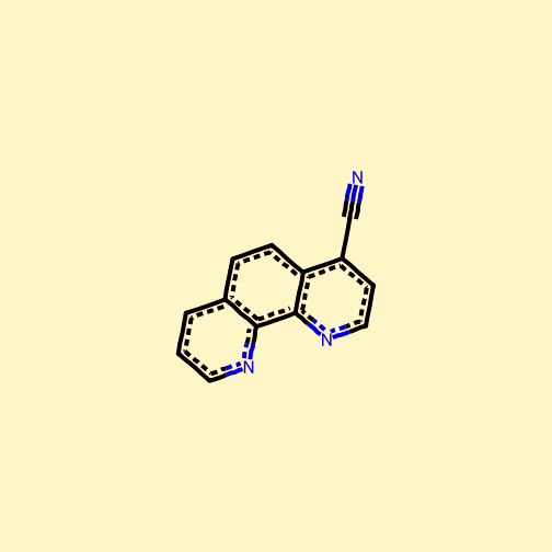 N#Cc1ccnc2c1ccc1cccnc12